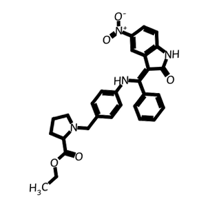 CCOC(=O)C1CCCN1Cc1ccc(NC(=C2C(=O)Nc3ccc([N+](=O)[O-])cc32)c2ccccc2)cc1